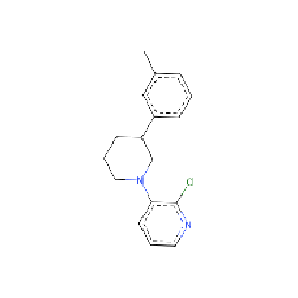 Cc1cccc(C2CCCN(c3cccnc3Cl)C2)c1